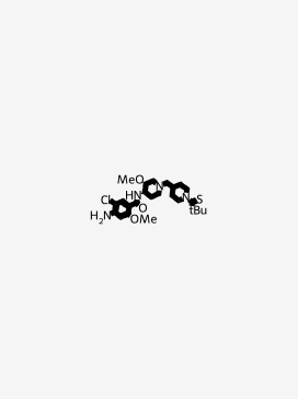 COc1cc(N)c(Cl)cc1C(=O)N[C@H]1CCN(CC2CCN(C(=S)C(C)(C)C)CC2)C[C@H]1OC